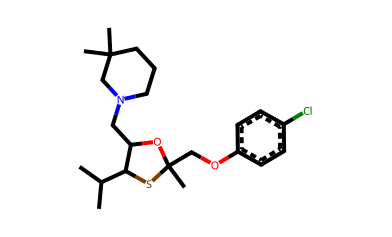 CC(C)C1SC(C)(COc2ccc(Cl)cc2)OC1CN1CCCC(C)(C)C1